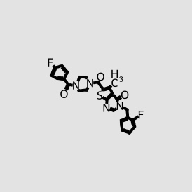 Cc1c(C(=O)N2CCN(C(=O)c3ccc(F)cc3)CC2)sc2ncn(Cc3ccccc3F)c(=O)c12